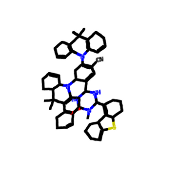 CN1C(C2=C3C(CCC2)SC2=CCCCC23)NC(C2=CC(C#N)=C(N3C4=C(CCC=C4)C(C)(C)C4=C3C=CCC4)CC2N2C3=C(CCCC3)C(C)(C)C3CCC=CC32)NC1C1C=CCCC1